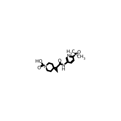 CP(C)(=O)c1ccc(NC(=O)C2CC23CCN(C(=O)O)CC3)cn1